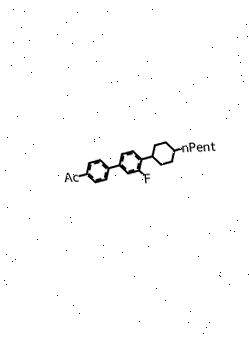 CCCCCC1CCC(c2ccc(-c3ccc(C(C)=O)cc3)cc2F)CC1